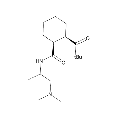 CC(CN(C)C)NC(=O)[C@H]1CCCC[C@H]1C(=O)C(C)(C)C